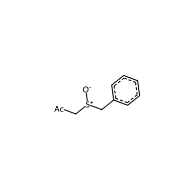 CC(=O)C[S+]([O-])Cc1ccccc1